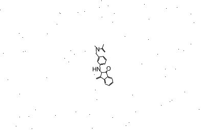 C=C1c2ccccc2C(=O)C1Nc1cccc(CN(C)C(=C)C)c1